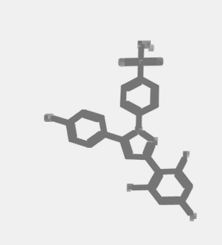 NS(=O)(=O)c1ccc(-n2nc(-c3c(F)cc(F)cc3F)cc2-c2ccc(Cl)cc2)cc1